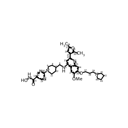 COc1cc2c(NCC3CCN(c4ncc(C(=O)NO)cn4)CC3)cc(-c3cc(C)oc3C)nc2cc1OCCCN1CCCC1